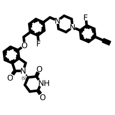 C#Cc1ccc(N2CCN(Cc3ccc(COc4cccc5c4CN([C@H]4CCC(=O)NC4=O)C5=O)c(F)c3)CC2)c(F)c1